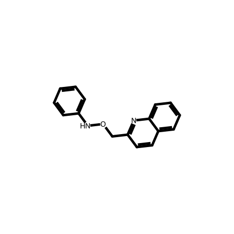 c1ccc(NOCc2ccc3ccccc3n2)cc1